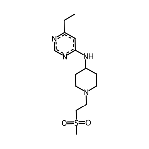 CCc1cc(NC2CCN(CCS(C)(=O)=O)CC2)ncn1